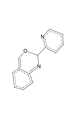 C1=c2ccccc2=NC(c2ccccn2)O1